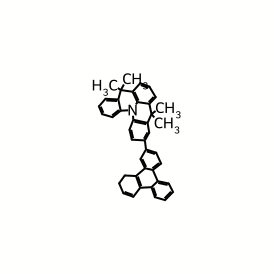 CC1(C)c2ccccc2N2c3ccc(-c4ccc5c(c4)c4c(c6ccccc65)C=CCC4)cc3C(C)(C)c3cccc1c32